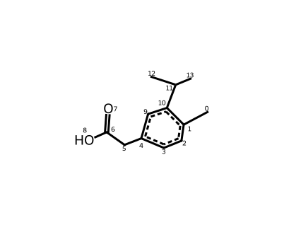 Cc1ccc(CC(=O)O)cc1C(C)C